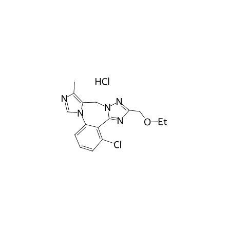 CCOCc1nc2n(n1)Cc1c(C)ncn1-c1cccc(Cl)c1-2.Cl